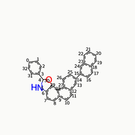 c1ccc(C2Nc3ccc4ccc5cc(-c6ccc7ccccc7c6)ccc5c4c3O2)cc1